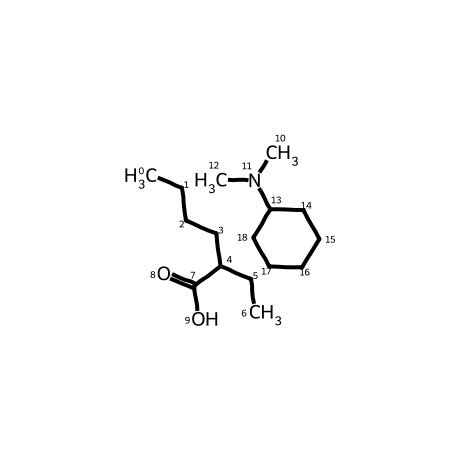 CCCCC(CC)C(=O)O.CN(C)C1CCCCC1